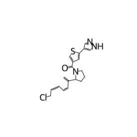 C=C(/C=C\C=C/CCl)C1CCCN1C(=O)c1csc(-c2cn[nH]c2)c1